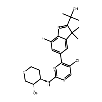 CC(C)(O)C1=Nc2c(F)cc(-c3nc(N[C@@H]4CCOC[C@H]4O)ncc3Cl)cc2C1(C)C